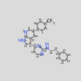 FC(F)(F)c1ccc(-c2cnc3[nH]cc(-c4ccnc(NCCc5ccccc5)n4)c3c2)cc1